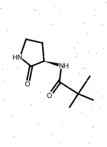 CC(C)(C)C(=O)N[C@@H]1CCNC1=O